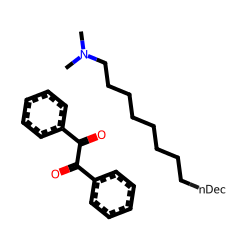 CCCCCCCCCCCCCCCCCCN(C)C.O=C(C(=O)c1ccccc1)c1ccccc1